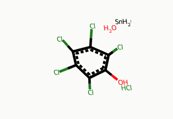 Cl.O.Oc1c(Cl)c(Cl)c(Cl)c(Cl)c1Cl.[SnH2]